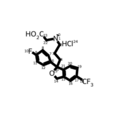 CN(CCCC1(c2ccc(F)cc2)OCc2cc(C(F)(F)F)ccc21)CC(=O)O.Cl